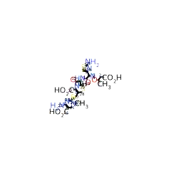 CC(CC(=O)O)O/N=C(\C(=O)NC1C(=O)N2C(C(=O)O)=C(CSC3=NC(N)=C(C(=O)O)CN3C)CS[C@@H]12)c1csc(N)n1